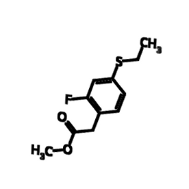 CCSc1ccc(CC(=O)OC)c(F)c1